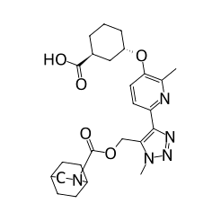 Cc1nc(-c2nnn(C)c2COC(=O)N2CC3CCC2CC3)ccc1O[C@H]1CCC[C@H](C(=O)O)C1